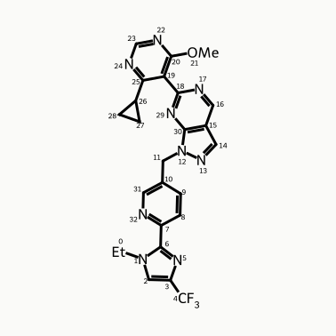 CCn1cc(C(F)(F)F)nc1-c1ccc(Cn2ncc3cnc(-c4c(OC)ncnc4C4CC4)nc32)cn1